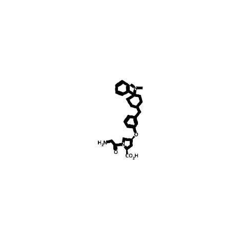 CN(C)C1(c2ccccc2)CCC(Cc2cccc(O[C@H]3C[C@@H](C(=O)O)N(C(=O)CN)C3)c2)CC1